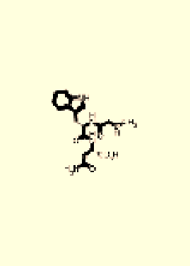 CBCC(=O)N[C@@H](Cc1c[nH]c2ccccc12)C(=O)N[C@@H](CC(N)=O)C(=O)O